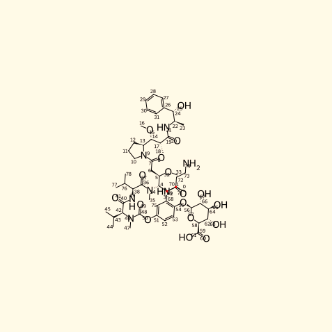 CC[C@H](C)[C@@H]([C@@H](CC(=O)N1CCC[C@H]1[C@H](OC)[C@@H](C)C(=O)N[C@H](C)[C@@H](O)c1ccccc1)OC)N(C)C(=O)[C@@H](NC(=O)[C@H](C(C)C)N(C)C(=O)Oc1ccc(O[C@@H]2O[C@H](C(=O)O)[C@@H](O)[C@H](O)[C@H]2O)c(NC(=O)CCN)c1)C(C)C